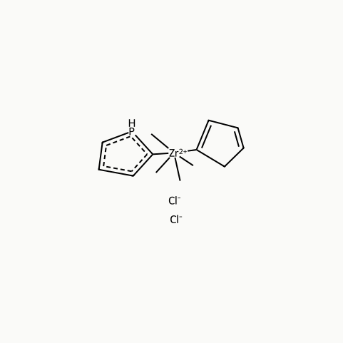 [CH3][Zr+2]([CH3])([CH3])([CH3])([C]1=CC=CC1)[c]1ccc[pH]1.[Cl-].[Cl-]